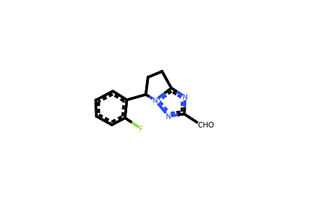 O=Cc1nc2n(n1)C(c1ccccc1F)CC2